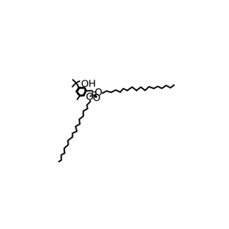 CCCCCCCCCCCCCCCCCCOP(=O)(Cc1cc(C)cc(C(C)(C)C)c1O)OCCCCCCCCCCCCCCCCCC